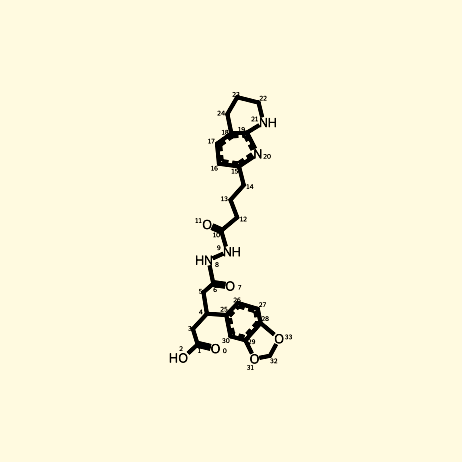 O=C(O)CC(CC(=O)NNC(=O)CCCc1ccc2c(n1)NCCC2)c1ccc2c(c1)OCO2